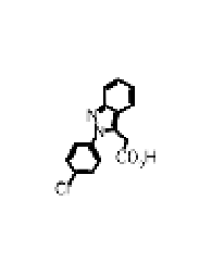 O=C(O)Cc1c2ccccc2nn1-c1ccc(Cl)cc1